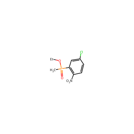 CCOP(C)(=O)c1cc(Cl)ccc1[N+](=O)[O-]